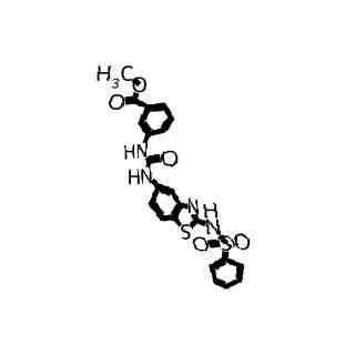 COC(=O)c1cccc(NC(=O)Nc2ccc3sc(NS(=O)(=O)c4ccccc4)nc3c2)c1